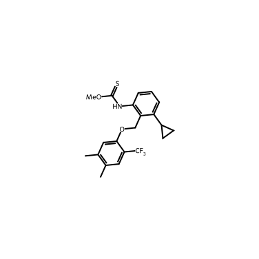 COC(=S)Nc1cccc(C2CC2)c1COc1cc(C)c(C)cc1C(F)(F)F